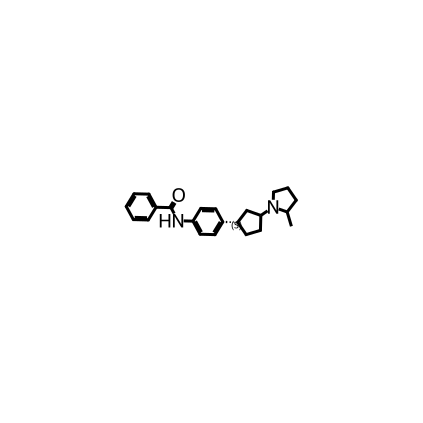 CC1CCCN1C1CC[C@H](c2ccc(NC(=O)c3ccccc3)cc2)C1